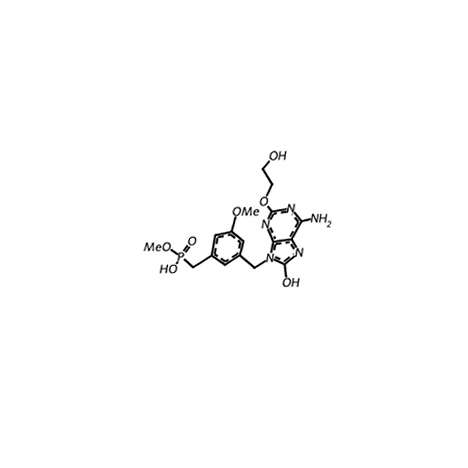 COc1cc(Cn2c(O)nc3c(N)nc(OCCO)nc32)cc(CP(=O)(O)OC)c1